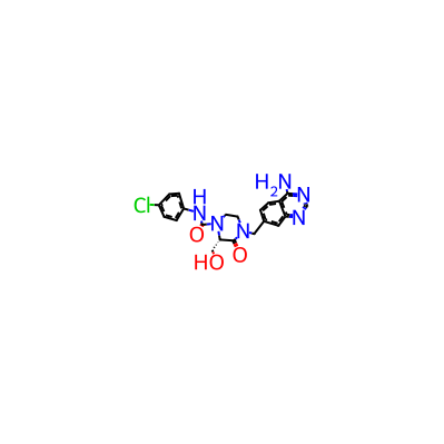 Nc1ncnc2cc(CN3CCN(C(=O)Nc4ccc(Cl)cc4)[C@@H](CO)C3=O)ccc12